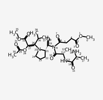 COC(=O)CCC(=O)N(C(=O)[C@H](C)NC(=O)[C@H](C)N)C(=O)[C@@H]1CCCN1C(=C(OC(C)=O)C(=O)OC)C(C)C